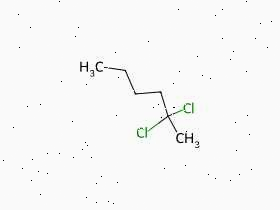 CCCCC(C)(Cl)Cl